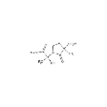 CCOC(=O)C1(C)CCC(C(O)(C(=O)OC)C(F)(F)F)C1=O